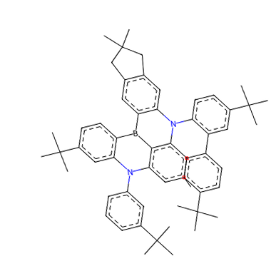 Cc1cc2c3c(c1)N(c1ccc(C(C)(C)C)cc1-c1ccc(C(C)(C)C)cc1)c1cc4c(cc1B3c1ccc(C(C)(C)C)cc1N2c1cccc(C(C)(C)C)c1)CC(C)(C)C4